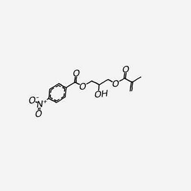 C=C(C)C(=O)OCC(O)COC(=O)c1ccc([N+](=O)[O-])cc1